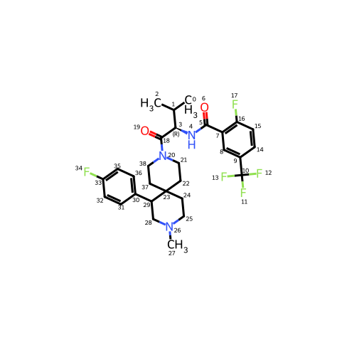 CC(C)[C@@H](NC(=O)c1cc(C(F)(F)F)ccc1F)C(=O)N1CCC2(CCN(C)CC2c2ccc(F)cc2)CC1